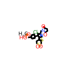 CP(=O)(O)Cc1ccc(-c2c(Cl)c(CN3C(=O)CCC3=O)nc3sc4c(c23)CCS(=O)(=O)C4)cc1